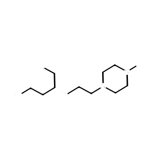 CN1CCN(CCC[C@H](CCO)CC(C)(C)C)CC1